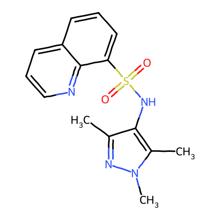 Cc1nn(C)c(C)c1NS(=O)(=O)c1cccc2cccnc12